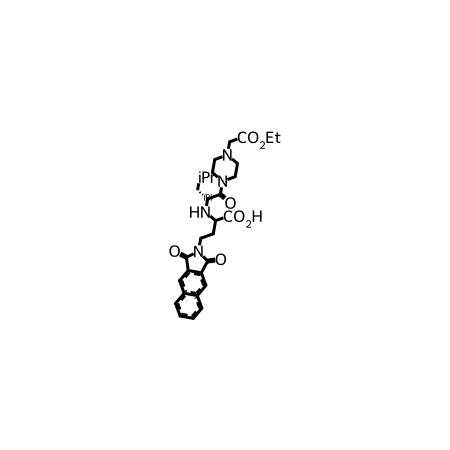 CCOC(=O)CN1CCN(C(=O)[C@@H](CC(C)C)NC(CCN2C(=O)c3cc4ccccc4cc3C2=O)C(=O)O)CC1